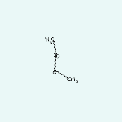 CCCCCCCCOC(=O)CCCCCCCC1OC1CCCCCCCC